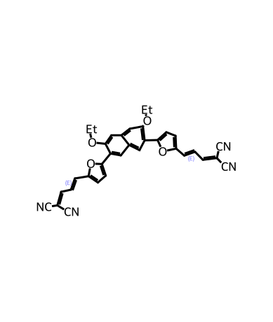 CCOc1cc2cc(OCC)c(-c3ccc(/C=C/C=C(C#N)C#N)o3)cc2cc1-c1ccc(/C=C/C=C(C#N)C#N)o1